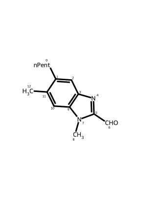 CCCCCc1cc2nc(C=O)n(C)c2cc1C